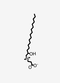 CCCCCCCCCCCCCCCC(O)C[N+](C)(C)CCC(=O)[O-]